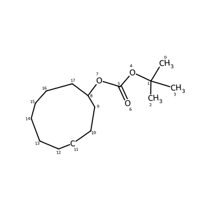 CC(C)(C)OC(=O)OC1CCCCCCCCC1